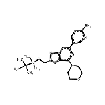 CC(C)(C)[Si](C)(C)OCc1nc2c(N3CCOCC3)nc(-c3cnc(N)nc3)cn2n1